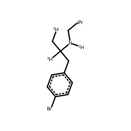 [2H]CC([2H])(Cc1ccc(Br)cc1)N([2H])CC(C)C